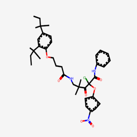 CCC(C)(C)c1ccc(OCCCC(=O)NCC(C)(C)C(=O)C(Cl)(Oc2ccc([N+](=O)[O-])cc2)C(=O)Nc2ccccc2)c(C(C)(C)CC)c1